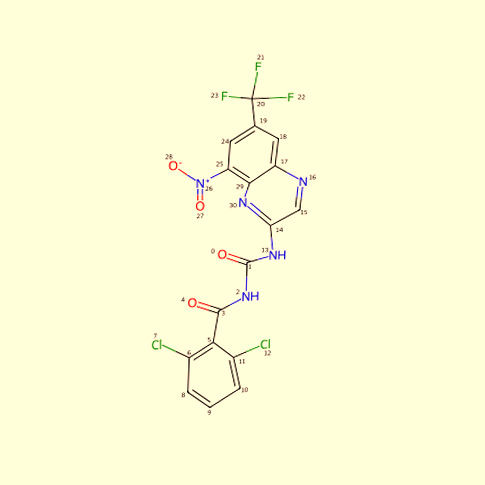 O=C(NC(=O)c1c(Cl)cccc1Cl)Nc1cnc2cc(C(F)(F)F)cc([N+](=O)[O-])c2n1